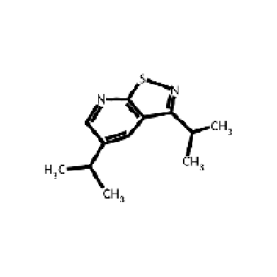 CC(C)c1cnc2snc(C(C)C)c2c1